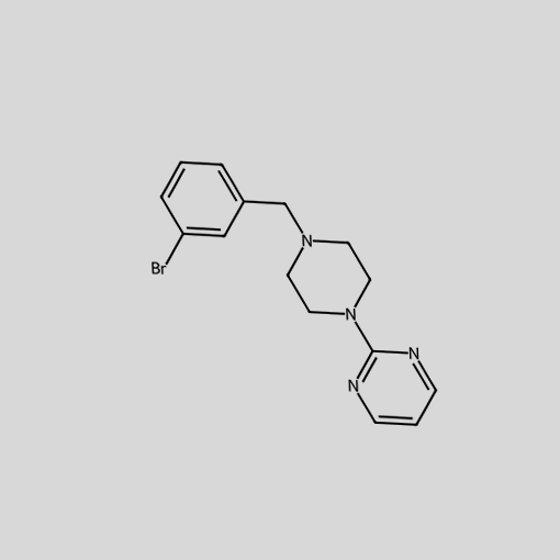 Brc1cccc(CN2CCN(c3ncccn3)CC2)c1